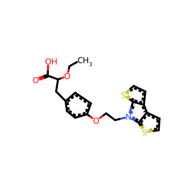 CCOC(Cc1ccc(OCCn2c3sccc3c3ccsc32)cc1)C(=O)O